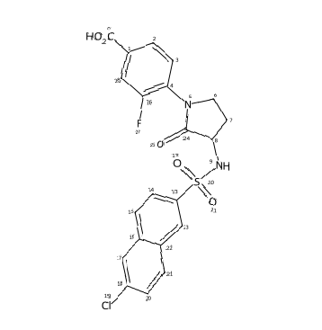 O=C(O)c1ccc(N2CCC(NS(=O)(=O)c3ccc4cc(Cl)ccc4c3)C2=O)c(F)c1